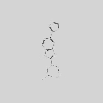 CC(C)CC(CN)c1nc2cc(-c3cnco3)ccc2[nH]1